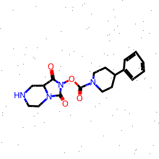 O=C(ON1C(=O)C2CNCCN2C1=O)N1CCC(c2ccccc2)CC1